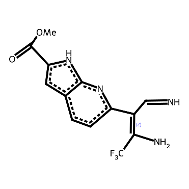 COC(=O)c1cc2ccc(/C(C=N)=C(/N)C(F)(F)F)nc2[nH]1